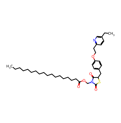 CCCCCCCCCCCCCCCCCC(=O)OCN1C(=O)SC(Cc2ccc(OCCc3ccc(CC)cn3)cc2)C1=O